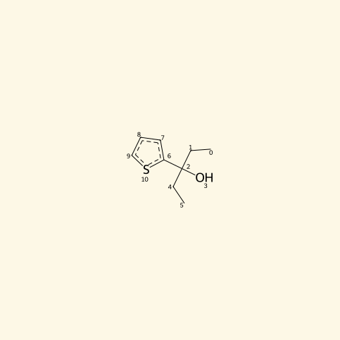 CCC(O)(CC)c1cccs1